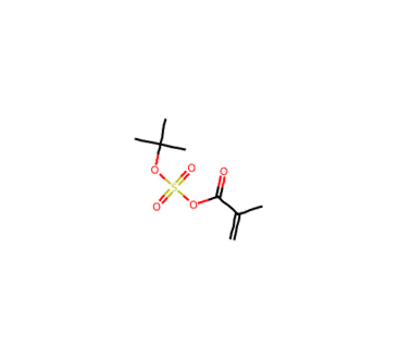 C=C(C)C(=O)OS(=O)(=O)OC(C)(C)C